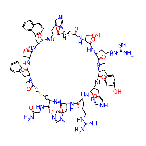 CCC1NC(=O)C(Cc2ccccc2)N(C)C(=O)CSCC(C(=O)NCC(N)=O)NC(=O)C(Cc2cncn2C)NC(=O)C(CCCNC(=N)N)NC(=O)C(Cc2c[nH]cn2)NC(=O)C(Cc2ccc(O)cc2)N(C)C(=O)C(CCCNC(=N)N)NC(=O)C(CO)NC(=O)CNC(=O)C(Cc2c[nH]cn2)NC(=O)C(Cc2cccc3ccccc23)NC1=O